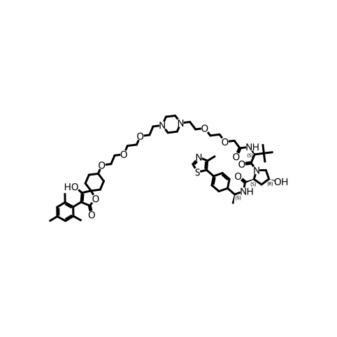 Cc1cc(C)c(C2=C(O)C3(CCC(OCCOCCOCCN4CCN(CCOCCOCC(=O)N[C@H](C(=O)N5C[C@H](O)C[C@H]5C(=O)N[C@@H](C)C5C=CC(c6scnc6C)=CC5)C(C)(C)C)CC4)CC3)OC2=O)c(C)c1